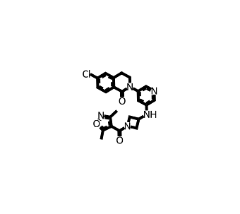 Cc1noc(C)c1C(=O)N1CC(Nc2cncc(N3CCc4cc(Cl)ccc4C3=O)c2)C1